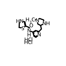 CN1CCNC(Cc2cc(NC(=O)C3=CNCCS3)ccn2)C1.Cl.Cl